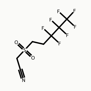 N#CCS(=O)(=O)CCC(F)(F)C(F)(F)C(F)(F)F